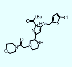 CC(C)(C)C(=O)n1nc(C2CN(CC(=O)N3CCOCC3)CCN2)cc1NCc1ccc(Cl)s1